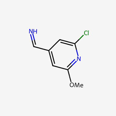 COc1cc(C=N)cc(Cl)n1